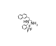 NCC(Cc1ccc2ccccc2c1)NCc1ccccc1C(F)(F)F